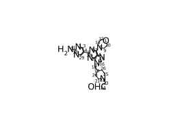 Nc1ncc(-c2nc(N3CCOCC3)c3ncn(CC4CCN(CC=O)CC4)c3n2)cn1